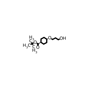 CC(C)(C)OC(=O)[C@H]1CC[C@H](OCCCO)CC1